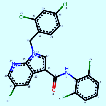 O=C(Nc1c(F)cccc1F)c1cn(Cc2ccc(Cl)cc2Cl)c2ncc(F)cc12